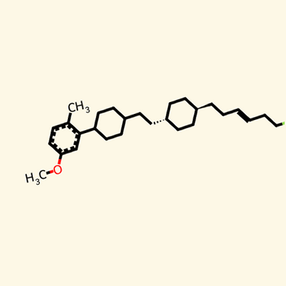 COc1ccc(C)c(C2CCC(CC[C@H]3CC[C@H](CC/C=C/CCF)CC3)CC2)c1